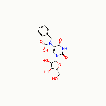 O=C(O)N(Cc1ccccc1)c1cn([C@@H]2O[C@H](CO)[C@@H](O)[C@H]2O)c(=O)[nH]c1=O